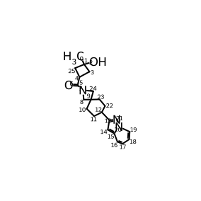 CC1(O)CC(C(=O)N2CC3(CCC(c4cc5ccccn5n4)CC3)C2)C1